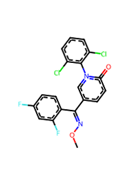 CON=C(c1ccc(=O)n(-c2c(Cl)cccc2Cl)c1)c1ccc(F)cc1F